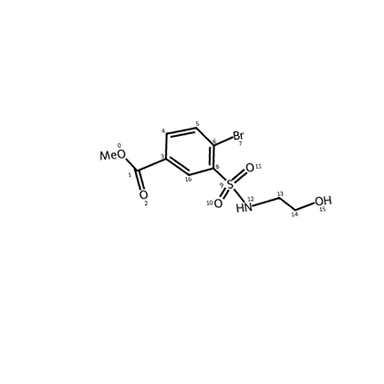 COC(=O)c1ccc(Br)c(S(=O)(=O)NCCO)c1